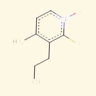 CCCc1c(C)cc[n+]([O-])c1S